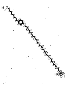 CCCCCCCCCc1ccc(OCCOCCOCCOCCOCCOCCOCCOCCOCCOCCOP(=O)(O)O)cc1